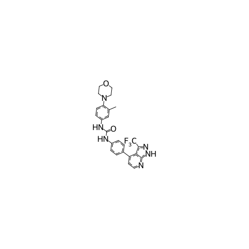 Cc1cc(NC(=O)Nc2ccc(-c3ccnc4[nH]nc(C(F)(F)F)c34)cc2)ccc1N1CCOCC1